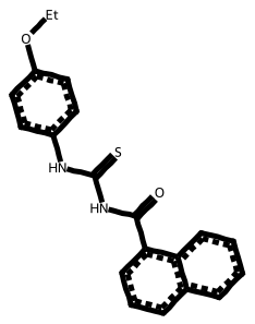 CCOc1ccc(NC(=S)NC(=O)c2cccc3ccccc23)cc1